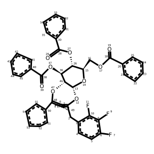 N=C(Cc1ccc(F)c(F)c1F)O[C@H]1O[C@H](COC(=O)c2ccccc2)[C@@H](OC(=O)c2ccccc2)[C@H](OC(=O)c2ccccc2)[C@H]1OC(=O)c1ccccc1